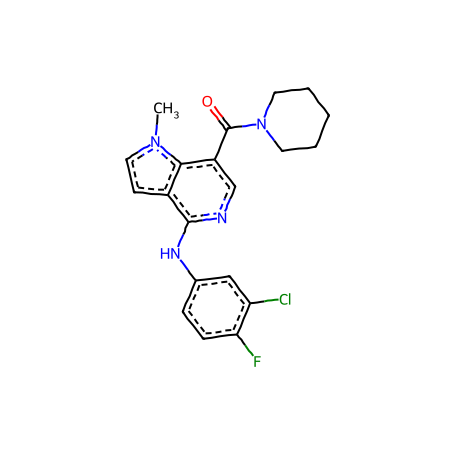 Cn1ccc2c(Nc3ccc(F)c(Cl)c3)ncc(C(=O)N3CCCCC3)c21